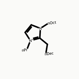 CCCCCCCCCCCc1n(CCCCCCCC)cc[n+]1CCC